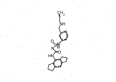 C=CCNCc1cccc(N/[SH](=O)=N\C(=O)Nc2c3c(cc4c2CCC4)CCC3)c1